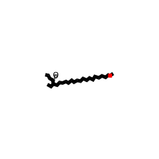 CCCCCCCCCCCCCCCCCCCCC(CC)C(CCC)P=O